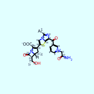 CC(=O)c1nc(C(=O)c2ccc[n+](CC(N)=O)c2)c2sc(C3=C(C(=O)[O-])N4C(=O)[C@H]([C@@H](C)O)[C@H]4[C@H]3C)cn12